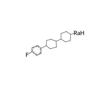 Fc1ccc(C2CCC(C3CC[CH]([RaH])CC3)CC2)cc1